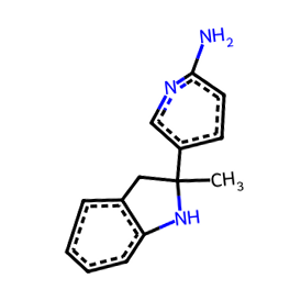 CC1(c2ccc(N)nc2)Cc2ccccc2N1